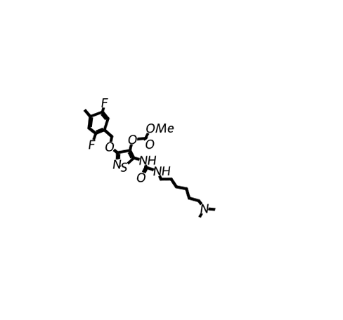 COC(=O)Oc1c(OCc2cc(F)c(C)cc2F)nsc1NC(=O)NCCCCCCN(C)C